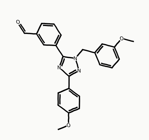 COc1ccc(-c2nc(-c3cccc(C=O)c3)n(Cc3cccc(OC)c3)n2)cc1